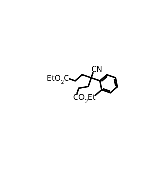 CCOC(=O)CCC(C#N)(CCC(=O)OCC)c1ccccc1C